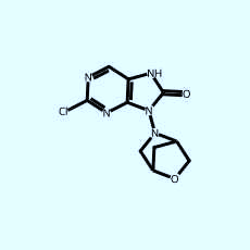 O=c1[nH]c2cnc(Cl)nc2n1N1CC2CC1CO2